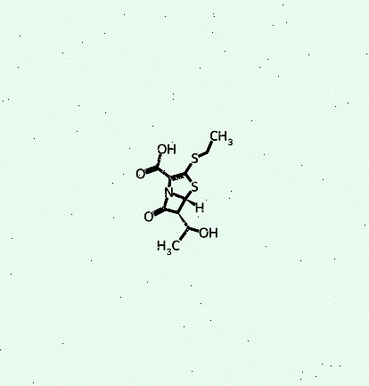 CCSC1=C(C(=O)O)N2C(=O)[C@H](C(C)O)[C@H]2S1